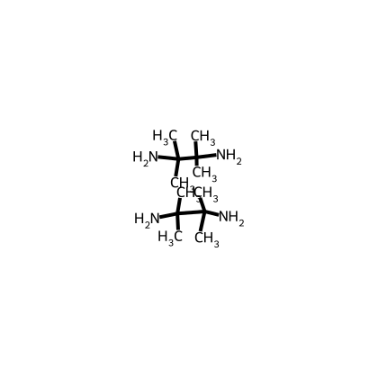 CC(C)(N)C(C)(C)N.CC(C)(N)C(C)(C)N